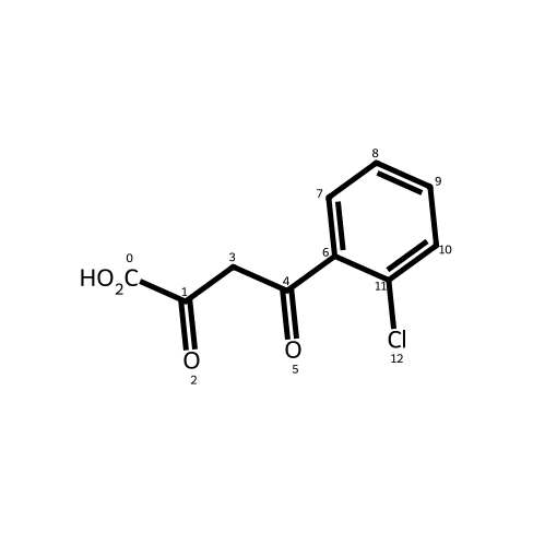 O=C(O)C(=O)CC(=O)c1ccccc1Cl